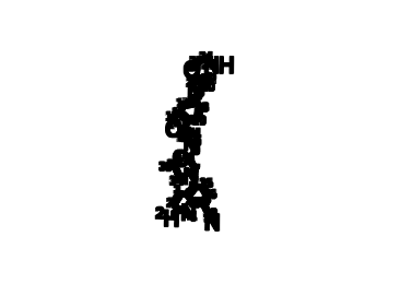 [2H]c1ccc2c(N3C[C@H](CN4CC5(C4)OCc4cc(N6CC7(CNCCO7)C6)ccc45)O[C@H](C)C3)ccc(C#N)c2n1